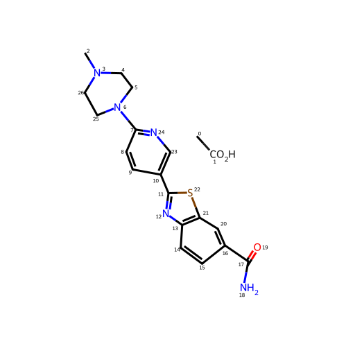 CC(=O)O.CN1CCN(c2ccc(-c3nc4ccc(C(N)=O)cc4s3)cn2)CC1